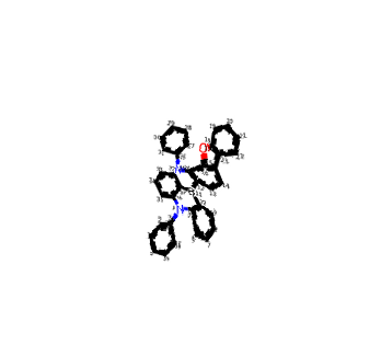 c1ccc(N2c3ccccc3B3c4ccc5c(oc6ccccc65)c4N(c4ccccc4)c4cccc2c43)cc1